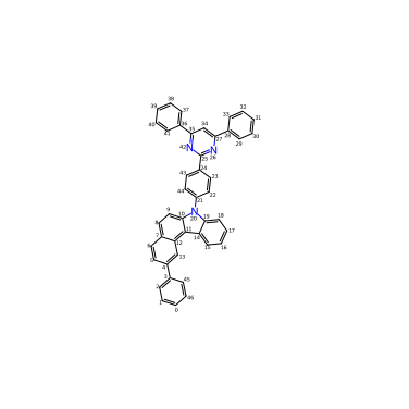 c1ccc(-c2ccc3ccc4c(c3c2)c2ccccc2n4-c2ccc(-c3nc(-c4ccccc4)cc(-c4ccccc4)n3)cc2)cc1